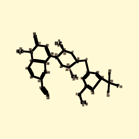 COc1cc(CN2C[C@H](C)N(c3cc(=O)n(C)c4ccc(C#N)nc34)C[C@H]2C)cc(C(F)(F)F)n1